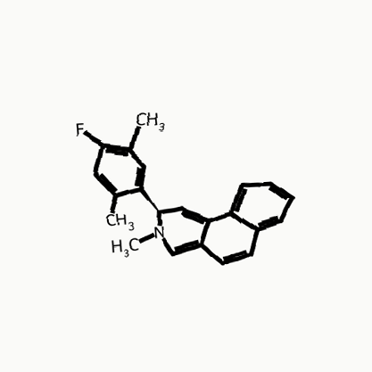 Cc1cc([C@H]2C=c3c(ccc4ccccc34)=CN2C)c(C)cc1F